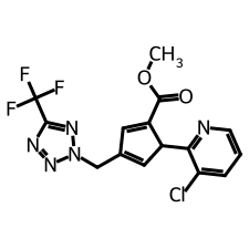 COC(=O)C1=CC(Cn2nnc(C(F)(F)F)n2)=CC1c1ncccc1Cl